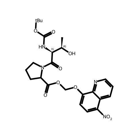 C[C@@H](O)[C@H](NC(=O)OC(C)(C)C)C(=O)N1CCCC1C(=O)OCOc1ccc([N+](=O)[O-])c2cccnc12